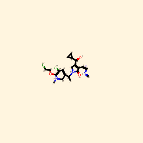 C=N/C=C\C1=C(C(=O)C2CC2)CN(C(C)C2=CC(Cl)=C(OCCF)N(C)C2)C1=O